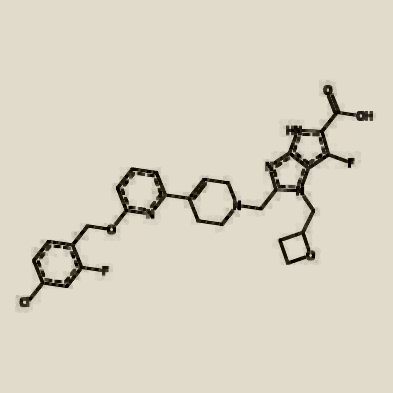 O=C(O)c1[nH]c2nc(CN3CC=C(c4cccc(OCc5ccc(Cl)cc5F)n4)CC3)n(CC3CCO3)c2c1F